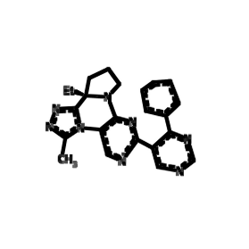 CC[C@@]12CCCN1c1nc(-c3cncnc3-c3ccccc3)ncc1-n1c(C)nnc12